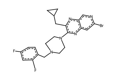 Fc1ccc(CN2CCN(c3nc4cc(Br)ncc4nc3CC3CC3)CC2)c(F)c1